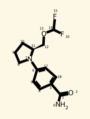 NC(=O)c1ccc(N2CCC[C@H]2COC(F)F)cc1